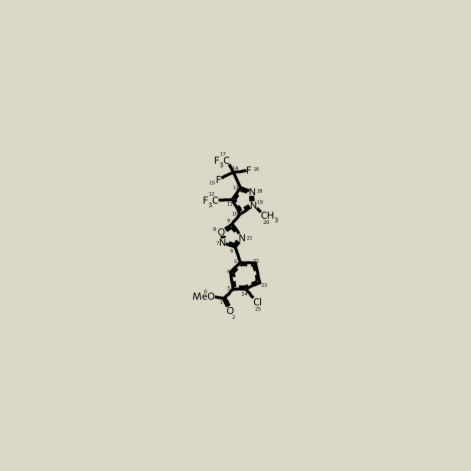 COC(=O)c1cc(-c2noc(-c3c(C(F)(F)F)c(C(F)(F)C(F)(F)F)nn3C)n2)ccc1Cl